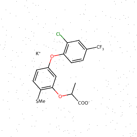 CSc1ccc(Oc2ccc(C(F)(F)F)cc2Cl)cc1OC(C)C(=O)[O-].[K+]